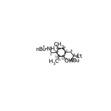 CCCCNCc1c(C)cc(CC(CC)CCCC)c(O)c1C